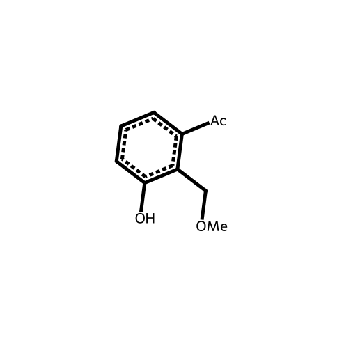 COCc1c(O)cccc1C(C)=O